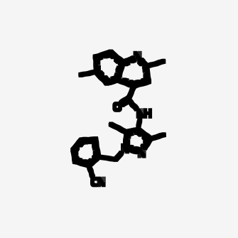 Cc1ccc2nc(C)cc(C(=O)Nc3c(C)nn(Cc4ccccc4C#N)c3C)c2c1